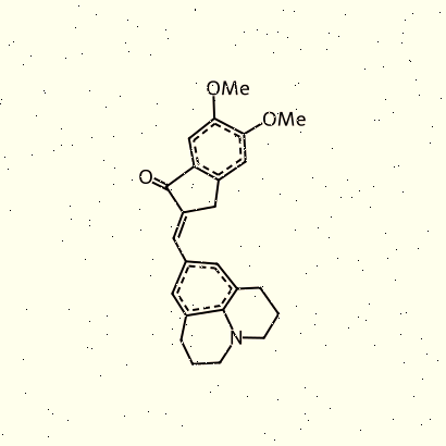 COc1cc2c(cc1OC)C(=O)C(=Cc1cc3c4c(c1)CCCN4CCC3)C2